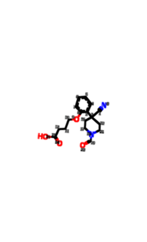 N#CC1(c2ccccc2OCCCC(=O)O)CCN(C=O)CC1